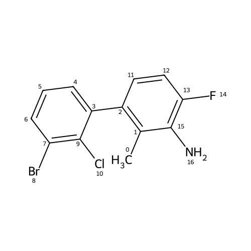 Cc1c(-c2cccc(Br)c2Cl)ccc(F)c1N